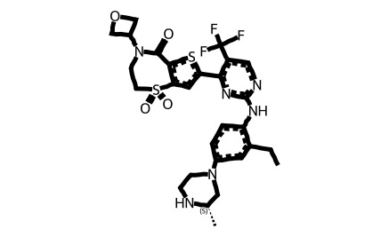 CCc1cc(N2CCN[C@@H](C)C2)ccc1Nc1ncc(C(F)(F)F)c(-c2cc3c(s2)C(=O)N(C2COC2)CCS3(=O)=O)n1